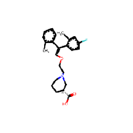 Cc1ccccc1C(=COCCN1CCC[C@@H](C(=O)O)C1)c1ccc(F)cc1C